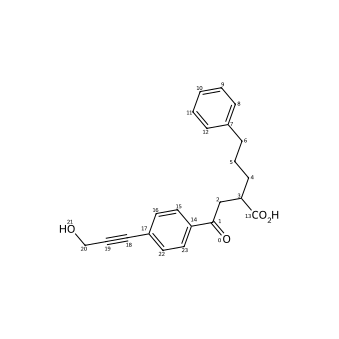 O=C(CC(CCCc1ccccc1)C(=O)O)c1ccc(C#CCO)cc1